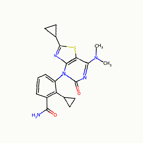 CN(C)c1nc(=O)n(-c2cccc(C(N)=O)c2C2CC2)c2nc(C3CC3)sc12